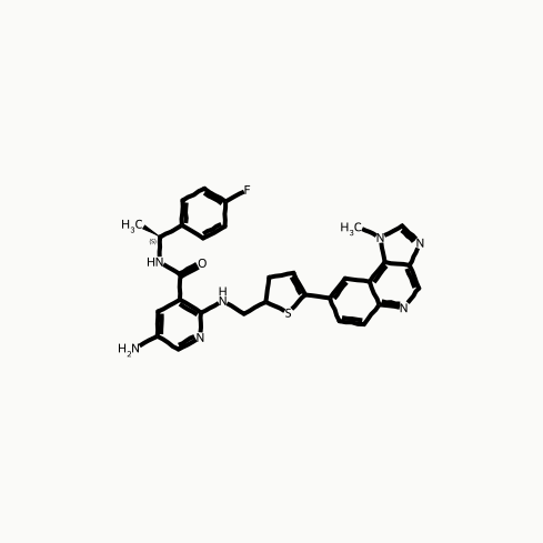 C[C@H](NC(=O)c1cc(N)cnc1NCC1CC=C(c2ccc3ncc4ncn(C)c4c3c2)S1)c1ccc(F)cc1